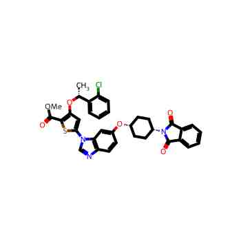 COC(=O)c1sc(-n2cnc3ccc(O[C@H]4CC[C@@H](N5C(=O)c6ccccc6C5=O)CC4)cc32)cc1O[C@H](C)c1ccccc1Cl